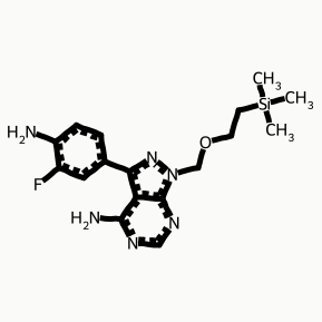 C[Si](C)(C)CCOCn1nc(-c2ccc(N)c(F)c2)c2c(N)ncnc21